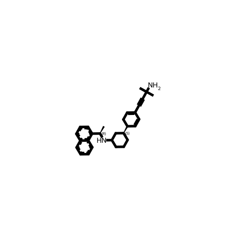 C[C@@H](NC1CCC[C@H](C2C=CC(C#CC(C)(C)N)=CC2)C1)c1cccc2ccccc12